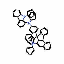 c1ccc(N(c2ccccc2)c2cc3ccccc3c3c2C2(c4ccccc4-c4cc(N(c5ccccc5)c5cccc6c7ccccc7n(-c7ccccc7)c56)ccc42)c2ccccc2-3)cc1